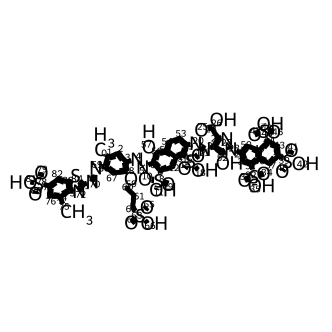 Cc1cc(N=Nc2c(S(=O)(=O)O)cc3c(S(=O)(=O)O)c(N=Nc4c(C(=O)O)nn(-c5cc(S(=O)(=O)O)c6cc(S(=O)(=O)O)cc(S(=O)(=O)O)c6c5)c4O)ccc3c2O)c(OCCCS(=O)(=O)O)cc1N=Nc1nc2c(C)cc(S(=O)(=O)O)cc2s1